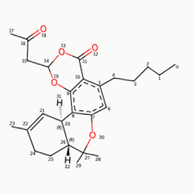 CCCCCc1cc2c(c3c1C(=O)OC(CC(C)=O)O3)[C@@H]1C=C(C)CC[C@H]1C(C)(C)O2